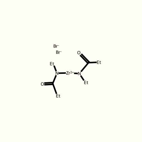 CCC(=O)[N](CC)[Zr+2][N](CC)C(=O)CC.[Br-].[Br-]